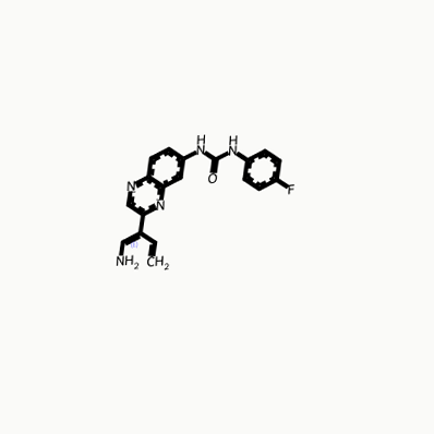 C=C/C(=C\N)c1cnc2ccc(NC(=O)Nc3ccc(F)cc3)cc2n1